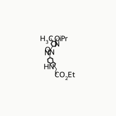 CCOC(=O)CCc1cc2cc(-c3noc(-c4cnc(OC(C)C)c(C)c4)n3)ccc2[nH]1